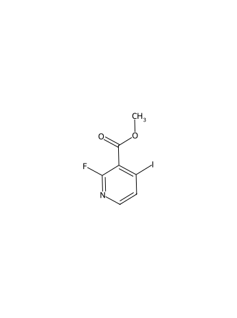 COC(=O)c1c(I)ccnc1F